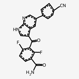 N#Cc1ccc(-c2cnc3[nH]cc(C(=O)c4c(F)ccc(C(N)=O)c4F)c3c2)cc1